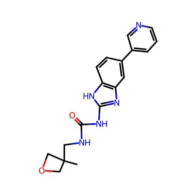 CC1(CNC(=O)Nc2nc3cc(-c4cccnc4)ccc3[nH]2)COC1